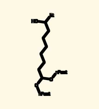 CCCCCOC(CCCCCCC(O)CC)OCCCCC